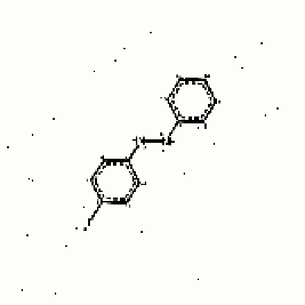 Ic1ccc(NNc2ccccc2)cc1